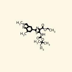 CCOC(=O)c1nc(-c2cc(C)c3nn(C)cc3c2)sc1NC(=O)OC(C)(C)C